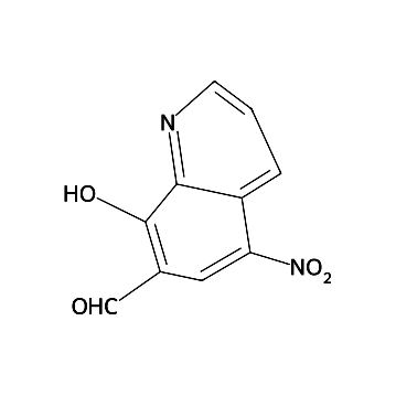 O=Cc1cc([N+](=O)[O-])c2cccnc2c1O